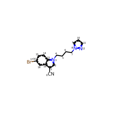 N#Cc1cn(CCCCn2cccn2)c2ccc(Br)cc12